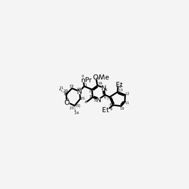 CCCC(c1c(C)nc(-c2c(CC)cccc2CC)nc1OC)N1C[C@@H](C)O[C@@H](C)C1